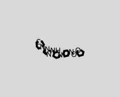 c1cc(N2CCCCCC2)nc(NC2CCCN(C3CCC(=NOC4CCCCO4)CC3)C2)n1